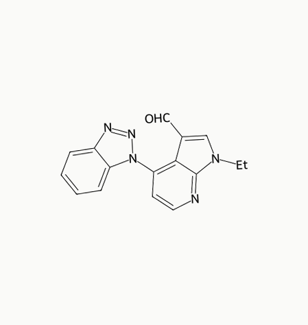 CCn1cc(C=O)c2c(-n3nnc4ccccc43)ccnc21